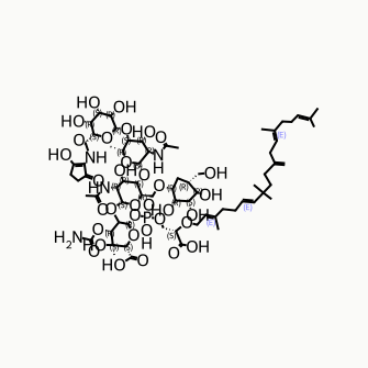 C=C(C/C=C(\C)CCC=C(C)C)CCC(C)(C)/C=C/CC/C(C)=C/CO[C@@H](COP(=O)(O)O[C@H]1O[C@H](C(=O)O)[C@@](C)(O)[C@H](OC(N)=O)C1O[C@@H]1O[C@H](CO[C@@H]2C[C@H](CO)[C@@H](O)[C@H](O)[C@H]2O)[C@@H](O[C@@H]2O[C@H](C)[C@@H](O[C@@H]3O[C@H](C(=O)NC4=C(O)CCC4=O)[C@H](O)[C@H](O)[C@H]3O)[C@H](O)[C@H]2NC(C)=O)[C@H](O)[C@H]1NC(C)=O)C(=O)O